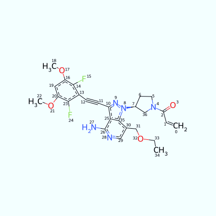 C=CC(=O)N1CC[C@H](n2nc(C#Cc3c(F)c(OC)cc(OC)c3F)c3c(N)ncc(COCC)c32)C1